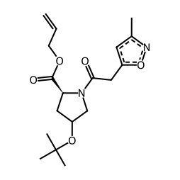 C=CCOC(=O)[C@@H]1CC(OC(C)(C)C)CN1C(=O)Cc1cc(C)no1